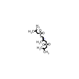 C=C(C)CS(=O)(=O)C/C(C)=C/SS(=O)(=O)CC(=C)C